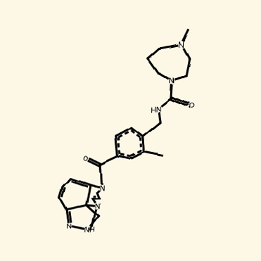 Cc1cc(C(=O)N2CC=CN(C)C34CNN=C3C=CC=C24)ccc1CNC(=O)N1CCCN(C)CC1